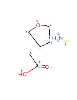 C1CCOC1.CC(=O)O.F.N